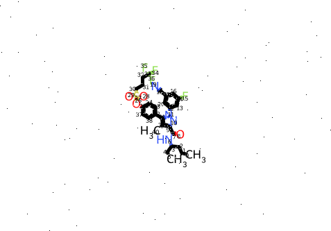 CCCC(CC)NC(=O)c1nn(-c2cc(F)cc(C#N)c2)c(-c2ccc(OS(=O)(=O)CCCC(F)(F)F)cc2)c1C